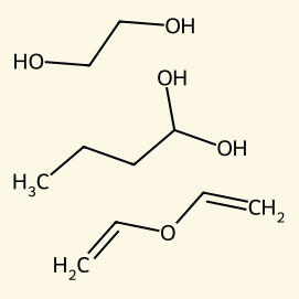 C=COC=C.CCCC(O)O.OCCO